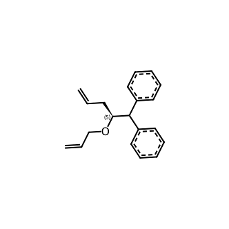 C=CCO[C@@H](CC=C)C(c1ccccc1)c1ccccc1